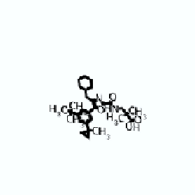 CC(C)(CNC(=O)c1nc(CC2CCCCC2)c(-c2cc(C(C)(C)C)cc(C3(C)CC3)c2)o1)C(=O)O